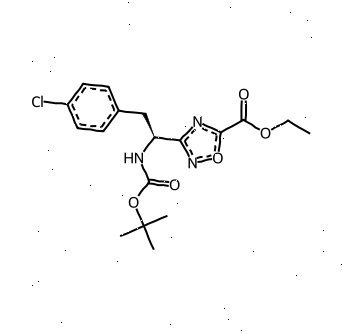 CCOC(=O)c1nc([C@H](Cc2ccc(Cl)cc2)NC(=O)OC(C)(C)C)no1